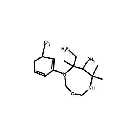 BCC1(C)C(B)C(C)(C)NCOCN1C1=CC(C(F)(F)F)CC=C1